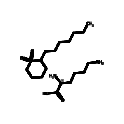 CCCCCCCC1CCCCS1(=O)=O.NCCCC[C@H](N)C(=O)O